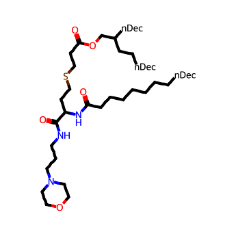 CCCCCCCCCCCCCCCCCC(=O)NC(CCSCCC(=O)OCC(CCCCCCCCCC)CCCCCCCCCCCC)C(=O)NCCCN1CCOCC1